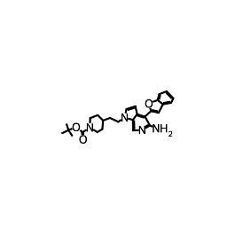 CC(C)(C)OC(=O)N1CCC(CCn2ccc3c(-c4cc5ccccc5o4)c(N)ncc32)CC1